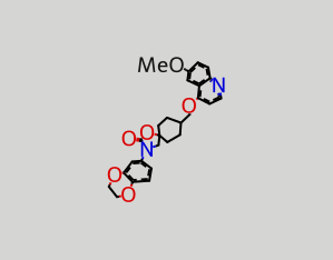 COc1ccc2nccc(OCC3CCC4(CC3)CN(c3ccc5c(c3)OCCO5)C(=O)O4)c2c1